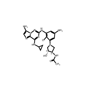 CC(=O)N[C@@H]1CN(c2cc(N)cc(Nc3nc(NC4CC4)c4ncc(N)n4n3)c2Cl)C[C@H]1O